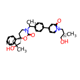 CC(c1ccc(-c2ccn(C[C@H](C)CO)c(=O)c2)cc1)N1CC[C@](CC(C)(C)O)(c2ccccc2)OC1=O